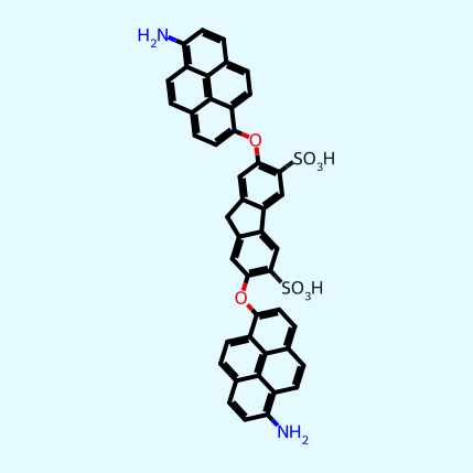 Nc1ccc2ccc3c(Oc4cc5c(cc4S(=O)(=O)O)-c4cc(S(=O)(=O)O)c(Oc6ccc7ccc8c(N)ccc9ccc6c7c98)cc4C5)ccc4ccc1c2c43